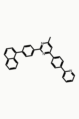 Cc1cc(-c2ccc(-c3ccccn3)cc2)nc(-c2ccc(-c3cccc4ccccc34)cc2)n1